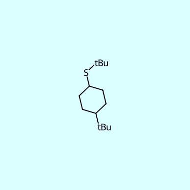 CC(C)(C)SC1CCC(C(C)(C)C)CC1